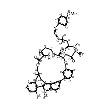 CCc1ccncc1-c1c2c3cc(ccc3n1CC)-c1cccc(c1)C[C@H](NC(=O)[C@H](C(C)C)N(C)C(=O)CC(C)(C)N=C=Nc1ccc(OC)cc1)C(=O)N1CCC[C@H](N1)C(=O)OCC(C)(C)C2